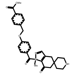 COC(=O)c1ccc(COc2ccc(C(=O)[N+]3(C(C)(C)C)N=CC4=C3C(=O)CC3(CCNCC3)C4)cc2)cc1